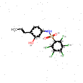 CC=Cc1ccc(NS(=O)(=O)c2c(F)c(F)c(F)c(F)c2F)cc1O